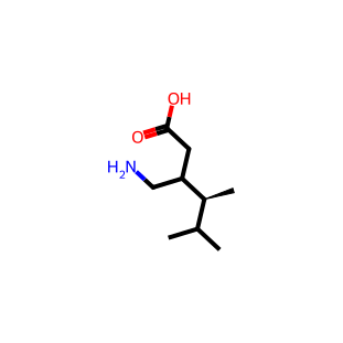 CC(C)[C@H](C)C(CN)CC(=O)O